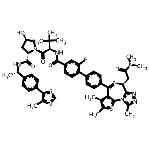 Cc1ncsc1-c1ccc([C@H](C)NC(=O)[C@@H]2C[C@@H](O)CN2C(=O)C(NC(=O)c2ccc(-c3ccc(C4=N[C@@H](CC(=O)N(C)C)c5nnc(C)n5-c5sc(C)c(C)c54)cc3)c(F)c2)C(C)(C)C)cc1